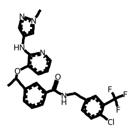 CC(Oc1cccnc1Nc1cnn(C)c1)c1cccc(C(=O)NCc2ccc(Cl)c(C(F)(F)F)c2)c1